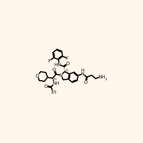 C[CH]C(=O)N[C@H](C(=O)N1Cc2ccc(NC(=O)CCN)cc2[C@H]1C(=O)Nc1c(F)cccc1F)C1CCOCC1